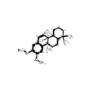 COc1cc2c(cc1OC)[C@]1(C)CCC3C(C)(C)CCC[C@]3(C)[C@H]1C=C2